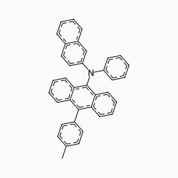 Cc1ccc(-c2c3ccccc3c(N(c3ccccc3)c3ccc4ccccc4c3)c3ccccc23)cc1